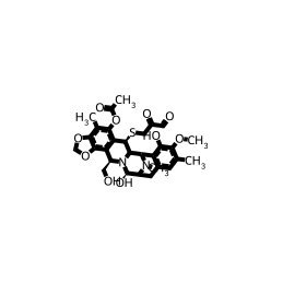 COc1c(C)cc2c(c1O)C1C3[C@H](SCC(=O)C=O)c4c(OC(C)=O)c(C)c5c(c4[C@H](CO)N3[C@@H](O)C(C2)N1C)OCO5